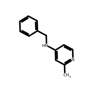 Cc1cc(NCc2ccccc2)ccn1